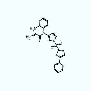 C=CC(=O)N(c1ccn(S(=O)(=O)c2ccc(-c3ccccn3)s2)c1)c1ccccc1N